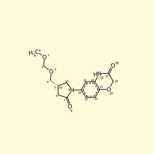 COCOC[C@H]1CC(=O)N(c2ccc3c(c2)NC(=O)CO3)C1